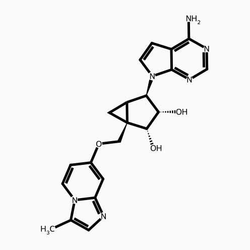 Cc1cnc2cc(OC[C@@]34CC3[C@@H](n3ccc5c(N)ncnc53)[C@H](O)[C@@H]4O)ccn12